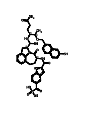 C[C@@H](OCc1ccc2ccc(S)cc2c1)[C@H](CCC(N)=O)NC(O)[C@@H]1Cc2cccc3c2N1C(=O)[C@@H](NC(=O)c1cc2cc(C(=O)P(=O)(O)O)ccc2[nH]1)CC3